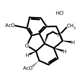 CC(=O)Oc1ccc2c3c1O[C@H]1[C@@H](OC(C)=O)C=C[C@H]4[C@@H](C2)N(C)CC[C@@]341.Cl